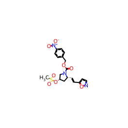 CS(=O)(=O)O[C@H]1C[C@@H](C=Cc2ccno2)N(C(=O)OCc2ccc([N+](=O)[O-])cc2)C1